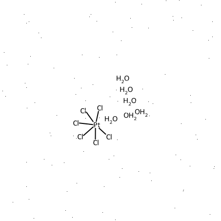 O.O.O.O.O.O.[Cl][Pt]([Cl])([Cl])([Cl])([Cl])[Cl]